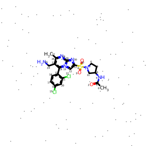 CC(=O)NC1CCN(S(=O)(=O)c2cn3c(-c4ccc(Cl)cc4Cl)c(CN)c(C)nc3n2)C1